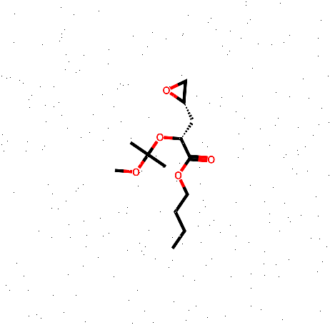 CCCCOC(=O)[C@@H](C[C@H]1CO1)OC(C)(C)OC